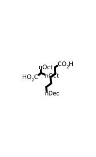 CCCCCCCCC(CCCCCCCC)C(=O)O.CCCCCCCCCCCCCCCC(=O)O